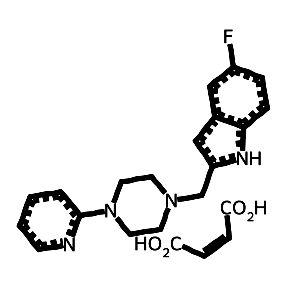 Fc1ccc2[nH]c(CN3CCN(c4ccccn4)CC3)cc2c1.O=C(O)/C=C\C(=O)O